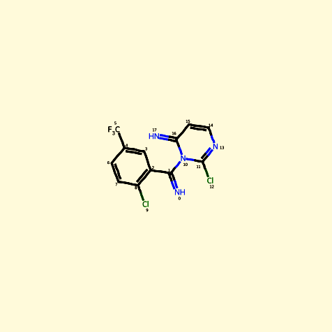 N=C(c1cc(C(F)(F)F)ccc1Cl)n1c(Cl)nccc1=N